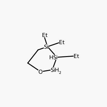 CC[SiH]1[SiH2]OCC[Si]1(CC)CC